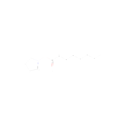 CCCCCCCC(=O)ON1CCCC1